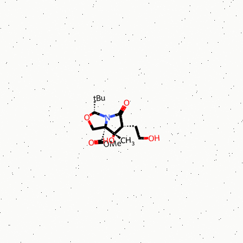 COC(=O)[C@]12CO[C@H](C(C)(C)C)N1C(=O)[C@H](CCO)[C@]2(C)O